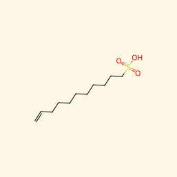 C=CCCCCCCCCCS(=O)(=O)O